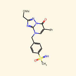 COCc1nc2n(Cc3ccc(S(C)(=N)=O)cc3)cc(C(C)C)c(=O)n2n1